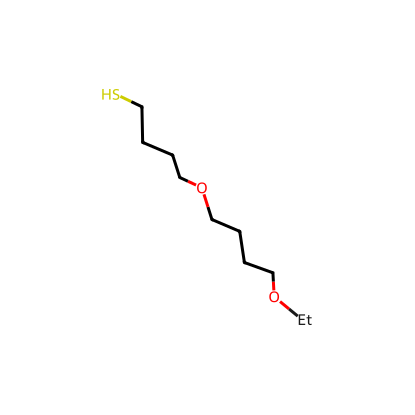 CCOCCCCOCCCCS